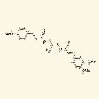 COc1ccc(C=CC(=O)OCC(O)COC(=O)/C=C/c2ccc(OC)c(OC)c2)cc1